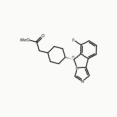 COC(=O)CC1CCC([C@@H]2c3c(F)cccc3-c3cncn32)CC1